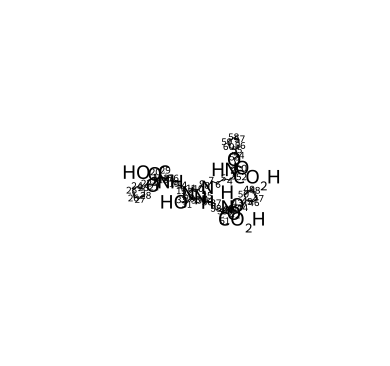 O=C(N[C@@H](CCCCNCC1=CN(CCCC[C@H](NC(=O)OCc2ccccc2)C(=O)O)C(CO)=CN1CCCC[C@H](NC(=O)OCc1ccccc1)C(=O)O)C(=O)O)OCc1ccccc1